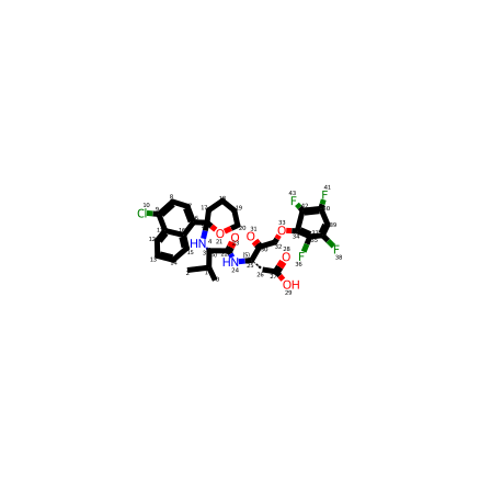 CC(C)[C@H](NC1(c2ccc(Cl)c3ccccc23)CCCCO1)C(=O)N[C@@H](CC(=O)O)C(=O)COc1c(F)c(F)cc(F)c1F